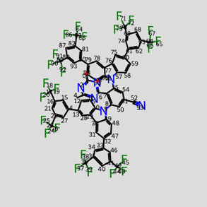 Cc1nc(C)nc(-c2c(-n3c4ccc(-c5cc(C(F)(F)F)cc(C(F)(F)F)c5)cc4c4cc(-c5cc(C(F)(F)F)cc(C(F)(F)F)c5)ccc43)cc(C#N)cc2-n2c3ccc(-c4cc(C(F)(F)F)cc(C(F)(F)F)c4)cc3c3cc(-c4cc(C(F)(F)F)cc(C(F)(F)F)c4)ccc32)n1